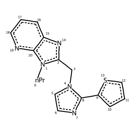 CCCn1c(Cn2ccnc2-c2cccs2)nc2cccnc21